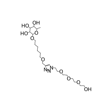 CC1OC(OCCCCCCOCc2cn(CCOCCOCCOCCO)nn2)C(O)C(O)C1O